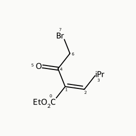 CCOC(=O)C(=CC(C)C)C(=O)CBr